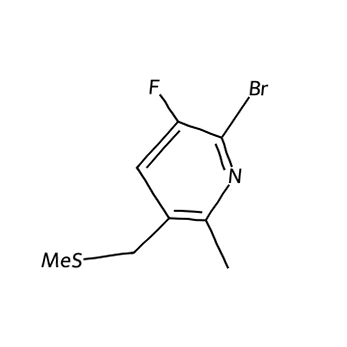 CSCc1cc(F)c(Br)nc1C